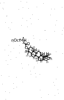 CCCCCCCC[N+](C)(C)CC(=O)O[C@H]1CC[C@@]2(C)C(CC[C@]3(C)[C@@H]2CC[C@@H]2[C@H]4[C@H]5OC[C@@]4(CCC5(C)C)CC[C@]23C)C1(C)C